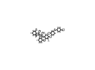 Cc1c(Cl)c(Oc2ccc(Sc3ccc(Cl)cc3)cc2)c(C)c(Oc2ccccc2)c1NC(=O)NC(=O)c1c(F)cccc1F